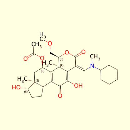 COC[C@H]1OC(=O)C(=CN(C)C2CCCCC2)C2=C(O)C(=O)C3=C([C@H](OC(C)=O)C[C@@]4(C)C3CC[C@@H]4O)[C@]21C